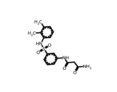 Cc1cccc(NS(=O)(=O)c2cccc(NC(=O)CC(N)=O)c2)c1C